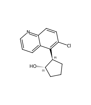 O[C@H]1CCC[C@@H]1c1c(Cl)ccc2ncccc12